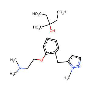 CN(C)CCOc1ccccc1Cc1ccnn1C.O=C(O)CC(O)(CC(=O)O)C(=O)O